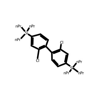 CCC[Si](CCC)(CCC)c1ccc(-c2ccc([Si](CCC)(CCC)CCC)cc2Cl)c(Cl)c1